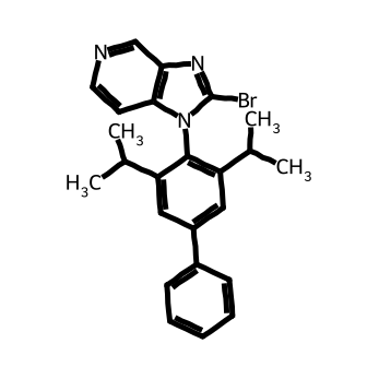 CC(C)c1cc(-c2ccccc2)cc(C(C)C)c1-n1c(Br)nc2cnccc21